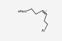 CCCCCCC/C=C\CCC(C)=O